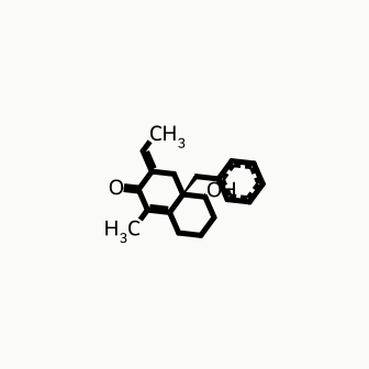 CC=C1C[C@@]2(Cc3ccccc3)C(=C(C)C1=O)CCC[C@@H]2O